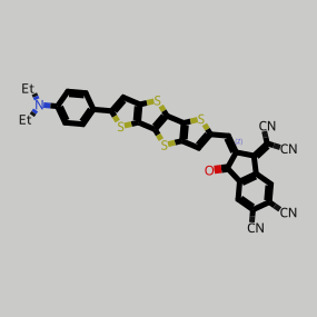 CCN(CC)c1ccc(-c2cc3sc4c5sc(/C=C6\C(=O)c7cc(C#N)c(C#N)cc7C6=C(C#N)C#N)cc5sc4c3s2)cc1